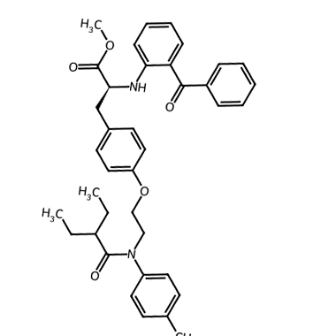 CCC(CC)C(=O)N(CCOc1ccc(C[C@H](Nc2ccccc2C(=O)c2ccccc2)C(=O)OC)cc1)c1ccc(C)cc1